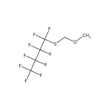 COCSC(F)(F)C(F)(F)C(F)(F)C(F)(F)F